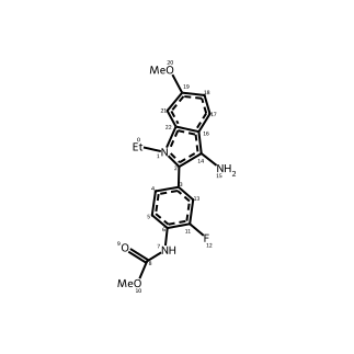 CCn1c(-c2ccc(NC(=O)OC)c(F)c2)c(N)c2ccc(OC)cc21